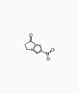 O=C1CCn2cc([N+](=O)[O-])cc21